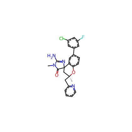 CN1C(=O)C2(C[C@](C)(Cc3ccccn3)Oc3ccc(-c4cc(F)cc(Cl)c4)cc32)N=C1N